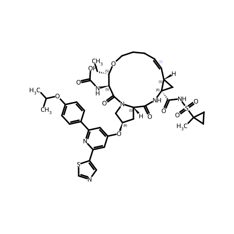 CC[C@@H]1OCCC/C=C\[C@@H]2C[C@@]2(C(=O)NS(=O)(=O)C2(C)CC2)NC(=O)[C@@H]2C[C@@H](Oc3cc(-c4ccc(OC(C)C)cc4)nc(-c4cncs4)c3)CN2C(=O)[C@H]1NC(=O)O